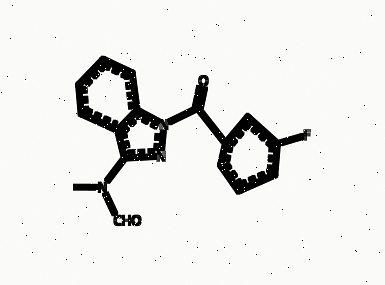 CN(C=O)c1nn(C(=O)c2cccc(F)c2)c2ccccc12